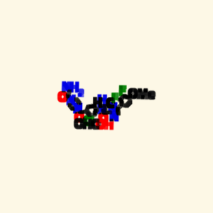 COc1ccc(-c2cnc(C(=O)Nc3ccc(C(=O)N4CCN(C(=O)CN)CC4)c(Cl)c3)n2C)c(F)c1F.O=CO